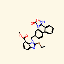 CCSc1nc2cccc(C(=O)OC)c2n1Cc1ccc(-c2ccccc2-c2nc(=O)o[nH]2)cc1